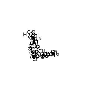 CC(C)(C)c1ccc(S(=O)(=O)Cl)cc1.CC(C)S(=O)(=O)Cl.CS(=O)(=O)Cl.Cc1ccc(S(=O)(=O)Cl)cc1.O=S(=O)(Cl)C(Cl)(Cl)Cl.O=S(=O)(Cl)C(F)(F)F.O=S(=O)(Cl)C=Cc1ccccc1.O=S(=O)(Cl)Cc1ccccc1